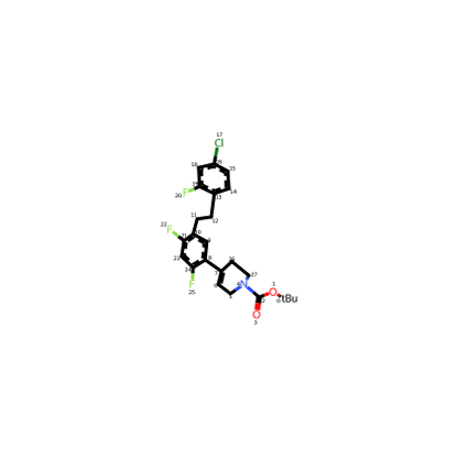 CC(C)(C)OC(=O)N1CC=C(c2cc(CCc3ccc(Cl)cc3F)c(F)cc2F)CC1